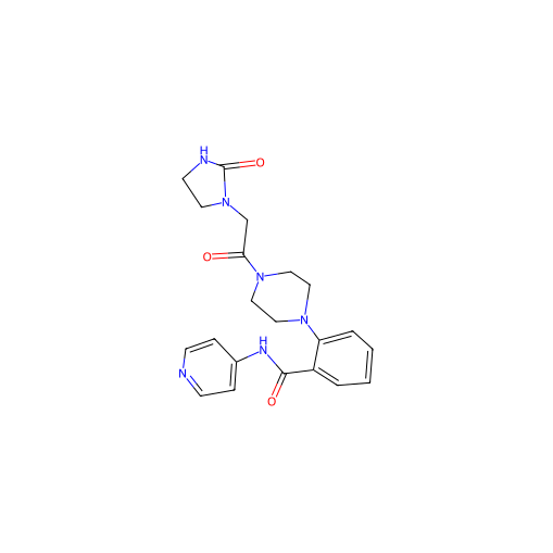 O=C(Nc1ccncc1)c1ccccc1N1CCN(C(=O)CN2CCNC2=O)CC1